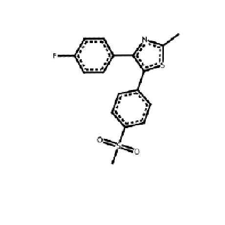 Cc1nc(-c2ccc(F)cc2)c(-c2ccc(S(C)(=O)=O)cc2)s1